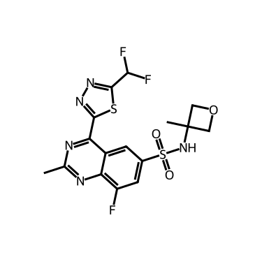 Cc1nc(-c2nnc(C(F)F)s2)c2cc(S(=O)(=O)NC3(C)COC3)cc(F)c2n1